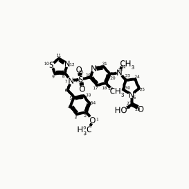 COc1ccc(CN(c2cscn2)S(=O)(=O)c2cc(C)c(N(C)C3CCN(C(=O)O)C3)cn2)cc1